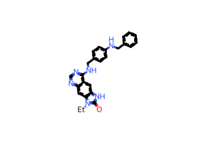 CCn1c(=O)[nH]c2cc3c(NCc4ccc(NCc5ccccc5)cc4)ncnc3cc21